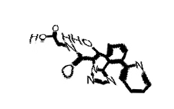 O=C(O)CNC(=O)c1c(O)c2cccc(-c3ccccn3)c2c2ncnn12